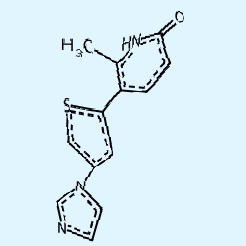 Cc1[nH]c(=O)ccc1-c1cc(-n2ccnc2)cs1